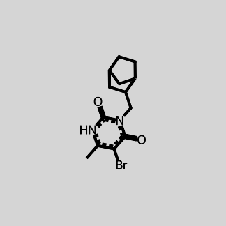 Cc1[nH]c(=O)n(CC2CC3CCC2C3)c(=O)c1Br